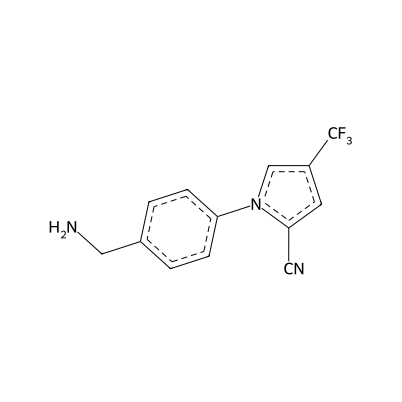 N#Cc1cc(C(F)(F)F)cn1-c1ccc(CN)cc1